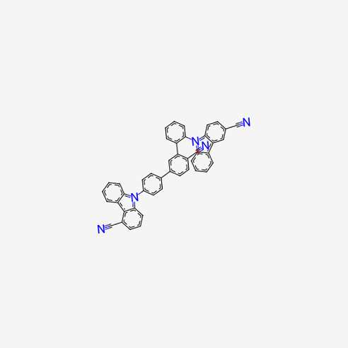 N#Cc1ccc2c(c1)c1ccccc1n2-c1ccccc1-c1cc(-c2ccc(-n3c4ccccc4c4c(C#N)cccc43)cc2)ccc1C#N